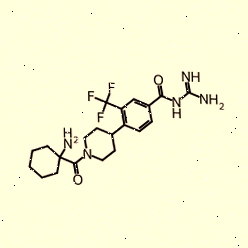 N=C(N)NC(=O)c1ccc(C2CCN(C(=O)C3(N)CCCCC3)CC2)c(C(F)(F)F)c1